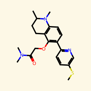 CSc1ccc(-c2ccc3c(c2OCC(=O)N(C)C)CCC(C)N3C)nc1